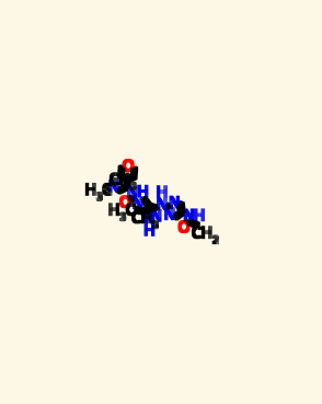 C=CC(=O)Nc1cnc(Nc2n[nH]c3c2CN(C(=O)NC(CN(C)C)C2CCOCC2)C3(C)C)nc1